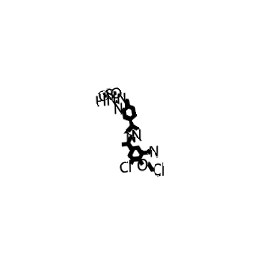 CC(c1cc(Cl)c(OCCCl)c(C#N)c1)n1cc(-c2ccc3cnc(NS(C)(=O)=O)nc3c2)cn1